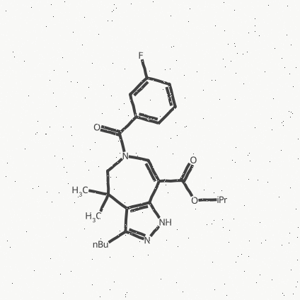 CCCCc1n[nH]c2c1C(C)(C)CN(C(=O)c1cccc(F)c1)C=C2C(=O)OC(C)C